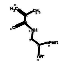 C=C(C)C(=O)NCC(CCC)CCCCC